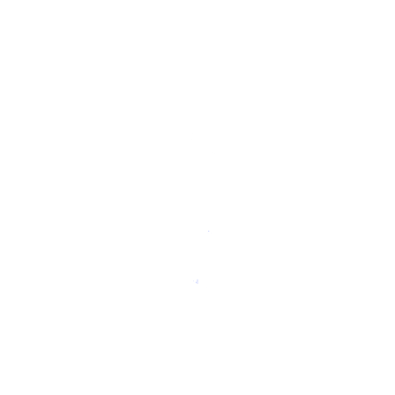 C[N+]1(CCCOc2ccc(F)c(F)c2)CCC(N)CC1